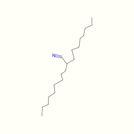 CCCCCCCCCC(C#N)CCCCCCCC